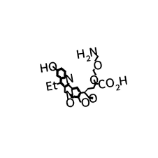 CCc1c2c(nc3ccc(O)cc13)-c1cc3c(c(=O)n1C2)COC(=O)[C@@H]3CCC(OCCOCCN)C(=O)O